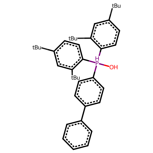 CC(C)(C)c1ccc([PH](O)(c2ccc(-c3ccccc3)cc2)c2ccc(C(C)(C)C)cc2C(C)(C)C)c(C(C)(C)C)c1